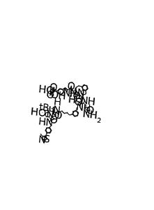 Cc1ncsc1-c1ccc(CNC(=O)[C@H]2C[C@H](O)CN2C(=O)[C@H](NC(=O)CCCCc2cccc(CNC(=O)[C@H](CCC(N)=O)NC(=O)[C@@H]3Cc4cccc5c4N3C(=O)[C@@H](NC(=O)c3cc4cc(C(=O)P(=O)(O)O)ccc4[nH]3)CC5)c2)C(C)(C)C)cc1